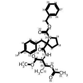 COC(=O)[C@@H](NC(=O)C1(Cc2ccc(F)cc2)CCCN1C(=O)OCc1ccccc1)[C@@H](C)OC(C)=O